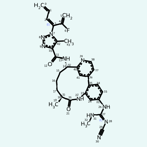 C=C/C=C(\C(=C)F)n1nnc(C(=O)N[C@H]2CCC[C@H](C)C(=O)Nc3cc(N/C(=N/C#N)NC)ccc3-c3ccnc2c3)c1C